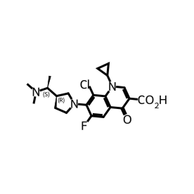 C[C@@H]([C@@H]1CCN(c2c(F)cc3c(=O)c(C(=O)O)cn(C4CC4)c3c2Cl)C1)N(C)C